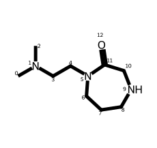 CN(C)CCN1CCCNCC1=O